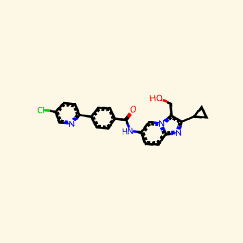 O=C(Nc1ccc2nc(C3CC3)c(CO)n2c1)c1ccc(-c2ccc(Cl)cn2)cc1